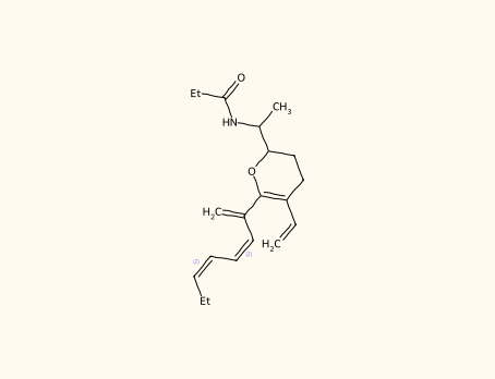 C=CC1=C(C(=C)/C=C\C=C/CC)OC(C(C)NC(=O)CC)CC1